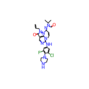 C=CCn1c(=O)c2cnc(Nc3cc(F)c(N4CCNCC4)c(Cl)c3)nc2n1C(/C=C\C)=N/N(C=O)C(C)C